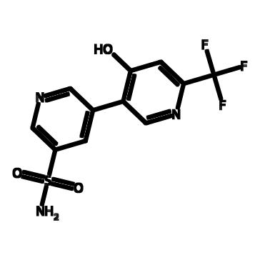 NS(=O)(=O)c1cncc(-c2cnc(C(F)(F)F)cc2O)c1